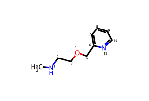 CNCCOCc1ccccn1